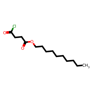 CCCCCCCCCCOC(=O)CCC(=O)Cl